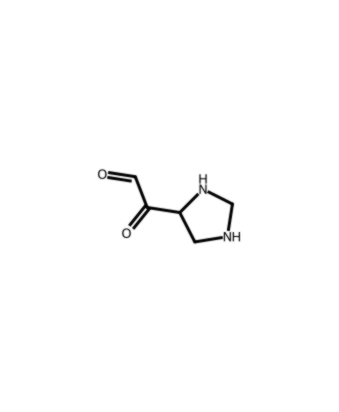 O=CC(=O)C1CNCN1